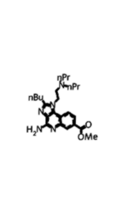 CCCCc1nc2c(N)nc3cc(C(=O)OC)ccc3c2n1CCN(CCC)CCC